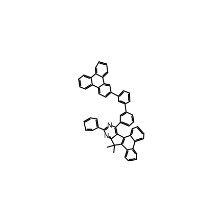 CC1(C)c2nc(-c3ccccc3)nc(-c3cccc(-c4cccc(-c5ccc6c7ccccc7c7ccccc7c6c5)c4)c3)c2-c2c1c1ccccc1c1ccccc21